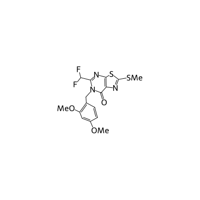 COc1ccc(Cn2c(C(F)F)nc3sc(SC)nc3c2=O)c(OC)c1